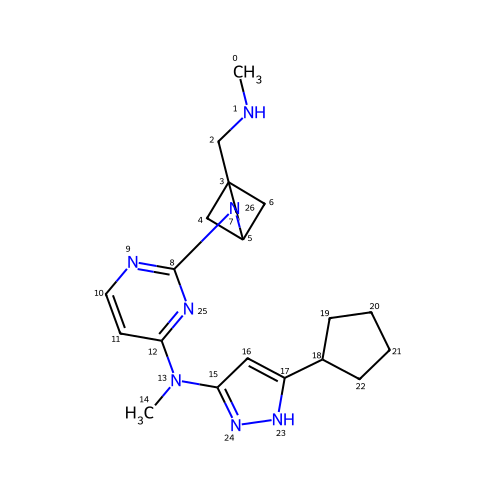 CNCC12CC(C1)N(c1nccc(N(C)c3cc(C4CCCC4)[nH]n3)n1)C2